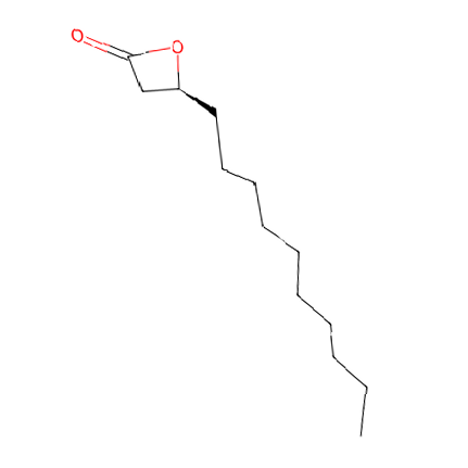 CCCCCCCCCC[C@H]1CC(=O)O1